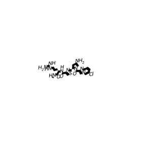 CNC(=O)[C@H](CCCNC(=N)N)NC(=O)c1csc([C@@H]2C[C@@H](N)CN2C(=O)c2cn3cc(Cl)ccc3n2)n1